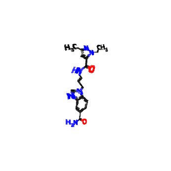 CCn1nc(C)cc1C(=O)NCCCn1cnc2cc(C(N)=O)ccc21